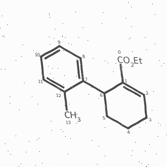 CCOC(=O)C1=CCCCC1c1ccccc1C